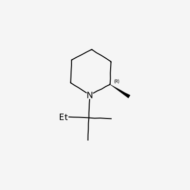 CCC(C)(C)N1CCCC[C@H]1C